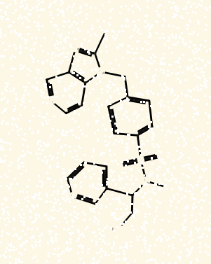 Cc1nc2cnccc2n1Cc1ccc(S(=O)(=O)N(C)C(CC(C)C)c2cccnc2)cc1